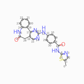 Cc1cnc(NC(=O)c2ccc(Nc3ncc4c(n3)-c3ccccc3NC(=O)C4)cc2)s1